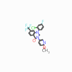 COc1ccc(N2CN(c3ccc(F)cc3Cl)c3cc(C(F)(F)F)ccc3C2=O)cn1